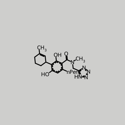 CCCCCc1cc(O)c(C2C=C(C)CCC2)c(O)c1C(=O)N(C)Cc1nnn[nH]1